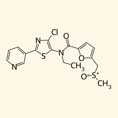 CCN(C(=O)c1ccc(C[S+](C)[O-])o1)c1sc(-c2cccnc2)nc1Cl